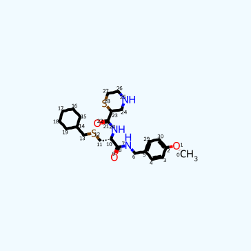 COc1ccc(CNC(=O)[C@H](CSCC2CCCCC2)NC(=O)C2CNCCS2)cc1